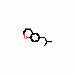 CC(C)Cc1ccc2c(c1)CC=CO2